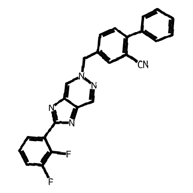 N#Cc1cc(Cn2cc3nc(-c4cccc(F)c4F)nc-3cn2)ccc1-c1ccccc1